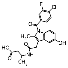 Cc1c(CC(=O)NC(C)CC(=O)O)c2cc(O)ccc2n1C(=O)c1ccc(Cl)c(F)c1